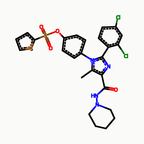 Cc1c(C(=O)NN2CCCCC2)nc(-c2ccc(Cl)cc2Cl)n1-c1ccc(OS(=O)(=O)c2cccs2)cc1